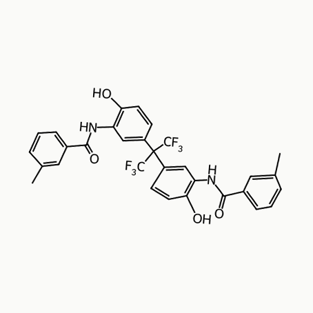 Cc1cccc(C(=O)Nc2cc(C(c3ccc(O)c(NC(=O)c4cccc(C)c4)c3)(C(F)(F)F)C(F)(F)F)ccc2O)c1